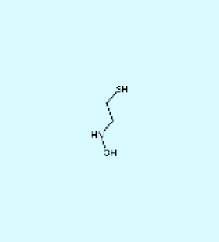 ONCCS